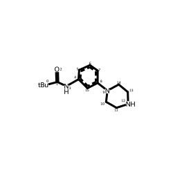 CC(C)(C)C(=O)Nc1cccc(N2CCNCC2)c1